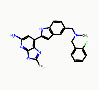 Cc1nc2c(-c3cc4cc(CN(C)Cc5ccccc5Cl)ccc4[nH]3)cc(N)nc2[nH]1